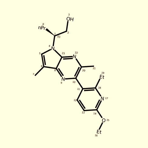 CCC[C@@H](CO)n1cc(C)c2nc(-c3ccc(OCC)nc3CC)c(C)nc21